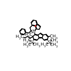 CCCCC1(C)C([Si](C)(C)C)=CC2=c3cc([Si](C)(C)C)c(C)cc3=CC2=[C]1[Zr]([C]1=CC=CC1)=[C](Cc1ccccc1)Cc1ccccc1